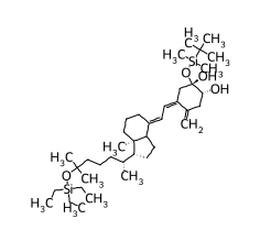 C=C1C[C@@H](O)[C@@](O)(O[Si](C)(C)C(C)(C)C)C/C1=C/C=C1CCC[C@@]2(C)C1CC[C@@H]2[C@H](C)CCCC(C)(C)O[Si](CC)(CC)CC